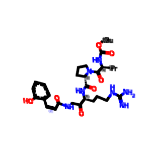 CC(C)[C@H](NC(=O)OC(C)(C)C)C(=O)N1CCC[C@H]1C(=O)N[C@@H](CCCNC(=N)N)C(=O)CNC(=O)/C=C\c1ccccc1O